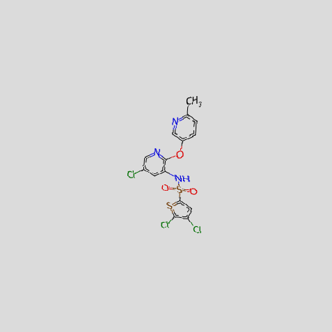 Cc1ccc(Oc2ncc(Cl)cc2NS(=O)(=O)c2cc(Cl)c(Cl)s2)cn1